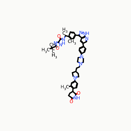 Cc1cc(N2CCC(CCN3CCN(c4ccc(-c5cnc6[nH]nc(-c7ccc([C@@H](C)NC(=O)c8noc(C(C)(C)C)n8)c(C)c7)c6c5)cc4)CC3)CC2)ccc1C1CCC(=O)NC1=O